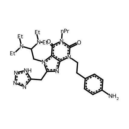 CCCn1c(=O)c2c(nc(Cc3nnn[nH]3)n2CC(N(CC)CC)N(CC)CC)n(CCc2ccc(N)cc2)c1=O